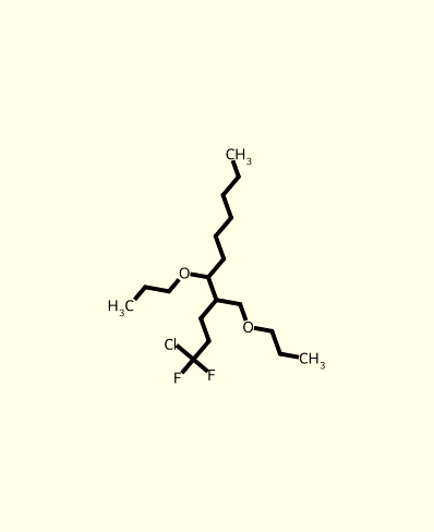 CCCCCCC(OCCC)C(CCC(F)(F)Cl)COCCC